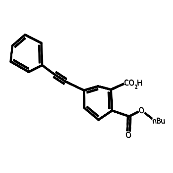 CCCCOC(=O)c1ccc(C#Cc2ccccc2)cc1C(=O)O